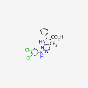 O=C(O)CC(Nc1nc(Nc2ccc(Cl)c(Cl)c2)ncc1C(F)(F)F)c1ccccc1